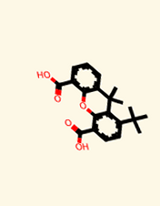 CC(C)(C)c1ccc(C(=O)O)c2c1C(C)(C)c1cccc(C(=O)O)c1O2